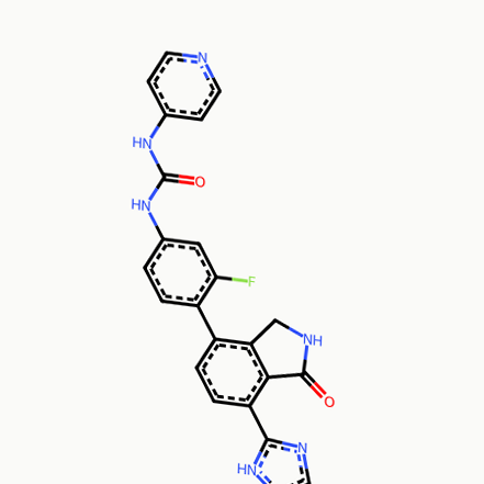 O=C(Nc1ccncc1)Nc1ccc(-c2ccc(-c3ncc[nH]3)c3c2CNC3=O)c(F)c1